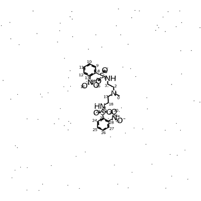 CN(CCNS(=O)(=O)c1ccccc1[N+](=O)[O-])CCNS(=O)(=O)c1ccccc1[N+](=O)[O-]